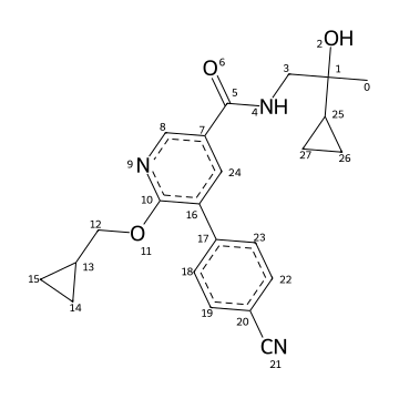 CC(O)(CNC(=O)c1cnc(OCC2CC2)c(-c2ccc(C#N)cc2)c1)C1CC1